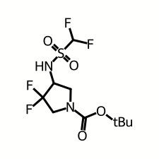 CC(C)(C)OC(=O)N1CC(NS(=O)(=O)C(F)F)C(F)(F)C1